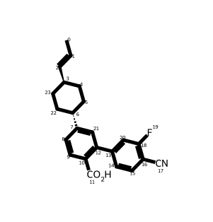 C/C=C/[C@H]1CC[C@H](c2ccc(C(=O)O)c(-c3ccc(C#N)c(F)c3)c2)CC1